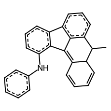 CC1c2cccc3c2C(=C2C=CC=CC21)c1c(Nc2ccccc2)cccc1-3